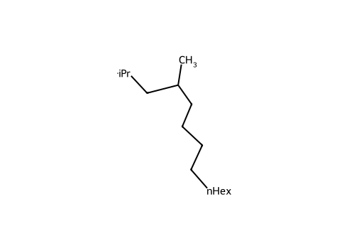 CCCCCCCCCCC(C)C[C](C)C